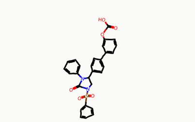 O=C(O)Oc1cccc(-c2ccc(C3CN(S(=O)(=O)c4ccccc4)C(=O)N3c3ccccc3)cc2)c1